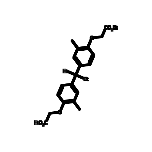 CCOC(=O)COc1ccc(C(CC)(CC)c2ccc(OCC(=O)OCC)c(C)c2)cc1C